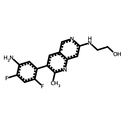 Cc1nc2cc(NCCO)ncc2cc1-c1cc(N)c(F)cc1F